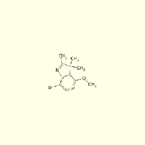 COc1ccc(Br)c2c1C(C)(C)C(C)=N2